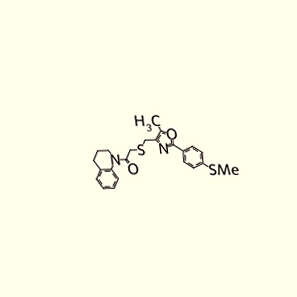 CSc1ccc(-c2nc(CSCC(=O)N3CCCc4ccccc43)c(C)o2)cc1